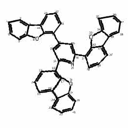 c1ccc2c(c1)oc1c(-c3cc(-c4cccc5c4oc4ccccc45)nc(-c4cccc5c4oc4ccccc45)c3)cccc12